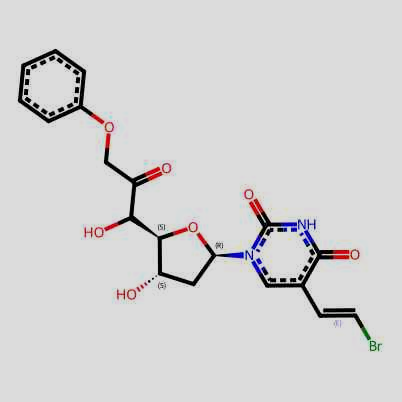 O=C(COc1ccccc1)C(O)[C@H]1O[C@@H](n2cc(/C=C/Br)c(=O)[nH]c2=O)C[C@@H]1O